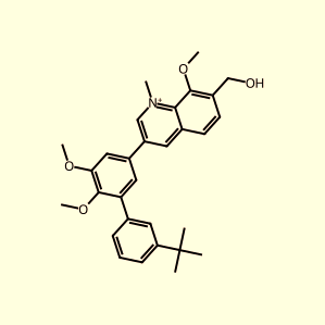 COc1cc(-c2cc3ccc(CO)c(OC)c3[n+](C)c2)cc(-c2cccc(C(C)(C)C)c2)c1OC